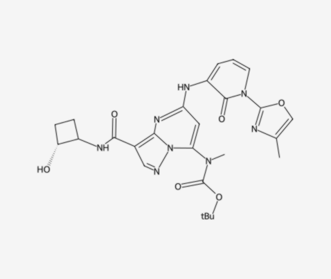 Cc1coc(-n2cccc(Nc3cc(N(C)C(=O)OC(C)(C)C)n4ncc(C(=O)NC5CC[C@H]5O)c4n3)c2=O)n1